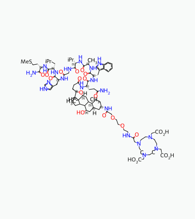 CSCC[C@H](NC(=O)[C@H](CC(C)C)NC(=O)[C@H](Cc1c[nH]cn1)NC(=O)CNC(=O)[C@@H](NC(=O)[C@H](C)NC(=O)[C@H](Cc1c[nH]c2ccccc12)NC(=O)[C@H](CCC(N)=O)NC(=O)CC[C@H]1O[C@H]2CC3C(C4CC[C@H]1C42C)[C@H](O)C[C@@H]1C[C@@H](NC(=O)COCCOCCNC(=O)CN2CCN(CC(=O)O)CCN(CC(=O)O)CCN(CC(=O)O)CC2)CC[C@]31C)C(C)C)C(N)=O